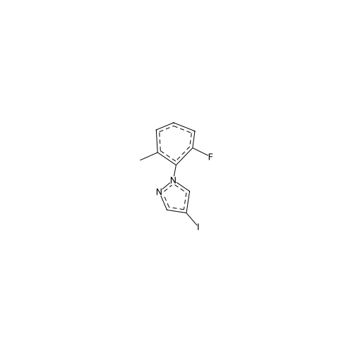 Cc1cccc(F)c1-n1cc(I)cn1